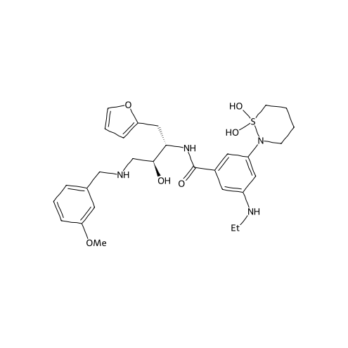 CCNc1cc(C(=O)N[C@@H](Cc2ccco2)[C@@H](O)CNCc2cccc(OC)c2)cc(N2CCCCS2(O)O)c1